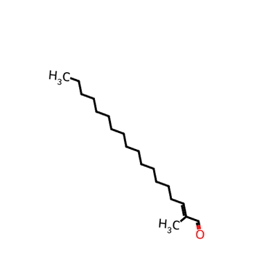 CCCCCCCCCCCCCCC/C=C(\C)C=O